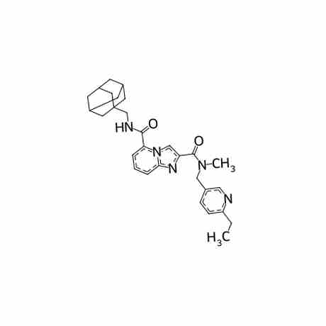 CCc1ccc(CN(C)C(=O)c2cn3c(C(=O)NCC45CC6CC(CC(C6)C4)C5)cccc3n2)cn1